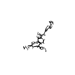 C=C1C=C(C)c2ccc(NCOOCC)cc2O1